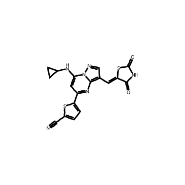 N#Cc1ccc(-c2cc(NC3CC3)n3ncc(C=C4SC(=O)NC4=O)c3n2)s1